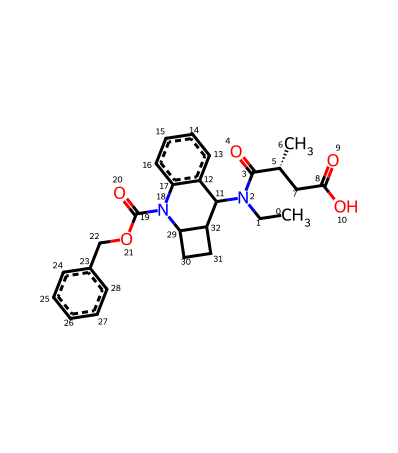 CCN(C(=O)[C@H](C)CC(=O)O)C1c2ccccc2N(C(=O)OCc2ccccc2)C2CCC12